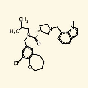 CC(C)CN(Cc1cc(Cl)c2c(c1)CCCCO2)C(=O)[C@@H]1CCN(Cc2cccc3cc[nH]c23)C1